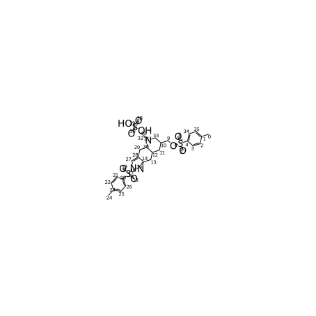 Cc1ccc(S(=O)(=O)OCC2CC3Cc4nn(S(=O)(=O)c5ccc(C)cc5)cc4CC3N(C)C2)cc1.O=S(=O)(O)O